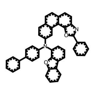 c1ccc(-c2ccc(N(c3ccc4ccc5ccc6nc(-c7ccccc7)oc6c5c4c3)c3cccc4c3oc3ccccc34)cc2)cc1